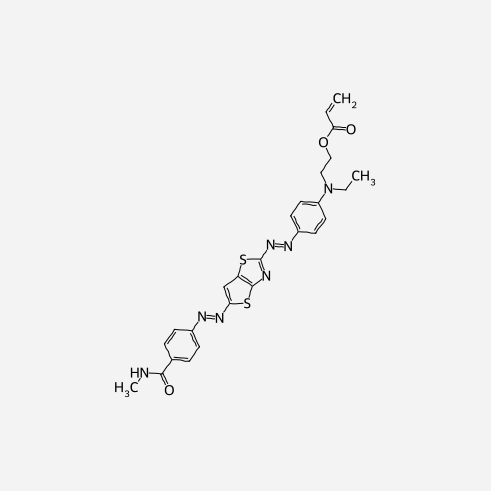 C=CC(=O)OCCN(CC)c1ccc(N=Nc2nc3sc(N=Nc4ccc(C(=O)NC)cc4)cc3s2)cc1